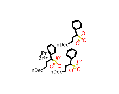 CCCCCCCCCCCCC(c1ccccc1)S(=O)(=O)[O-].CCCCCCCCCCCCC(c1ccccc1)S(=O)(=O)[O-].CCCCCCCCCCCCC(c1ccccc1)S(=O)(=O)[O-].C[CH](C)[Zr+3]